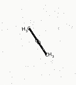 CCCCCCCCCCCCCCCCOCCOCCCCCCCCCCCCCCCC